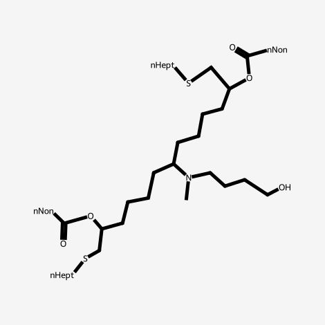 CCCCCCCCCC(=O)OC(CCCCC(CCCCC(CSCCCCCCC)OC(=O)CCCCCCCCC)N(C)CCCCO)CSCCCCCCC